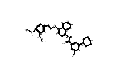 COc1ccc(CCOc2ccc(NC(=O)c3cc(F)cc(N4CCCCC4)c3)c3ccccc23)cc1OC